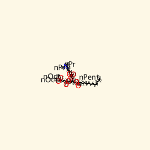 CCCCC/C=C\C/C=C\CCCCCCCC(=O)OCC(COC(=O)CCC(OCCCCCCCC)OCCCCCCCC)COC(=O)OCCCN(CCC)CCC